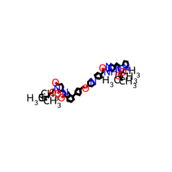 CN1CCC[C@@H]1c1cc2cnc(NC(=O)c3ccc(N4CCC(OCc5ccc(-c6cccc7c6CN(C6CCC(=O)N(COCC[Si](C)(C)C)C6=O)C7=O)cc5)CC4)cc3)cc2n1C(=O)OC(C)(C)C